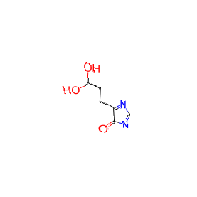 O=C1N=CN=C1CCC(O)O